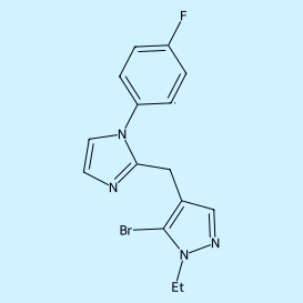 CCn1ncc(Cc2nccn2-c2[c]cc(F)cc2)c1Br